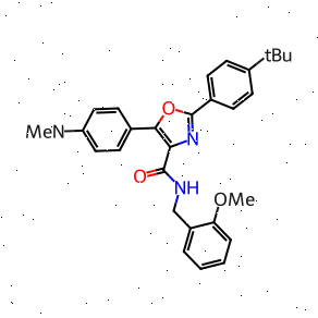 CNc1ccc(-c2oc(-c3ccc(C(C)(C)C)cc3)nc2C(=O)NCc2ccccc2OC)cc1